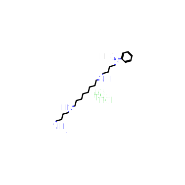 CN(CCCCNCCCCCCCCNCCCCN)c1ccccc1.Cl.Cl.Cl.Cl